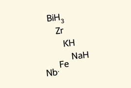 [BiH3].[Fe].[KH].[NaH].[Nb].[Zr]